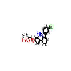 CCC(O)COc1ccc(C2CCCc3c2[nH]c2ccc(Cl)cc32)cc1